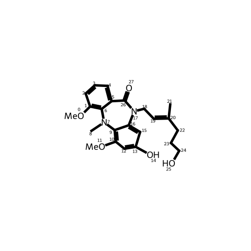 COc1cccc2c1N(C)c1c(OC)cc(O)cc1N(C/C=C(\C)CCCO)C2=O